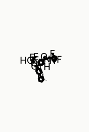 C[C@@H]1CCCN(C2CCN(C(=O)c3ccc(C(=O)NCc4ncc(F)cc4F)cc3)CC2)C1.O=C(O)C(F)(F)F